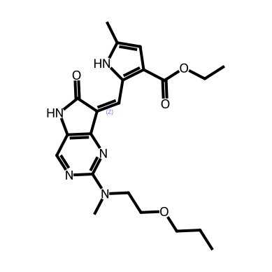 CCCOCCN(C)c1ncc2c(n1)/C(=C/c1[nH]c(C)cc1C(=O)OCC)C(=O)N2